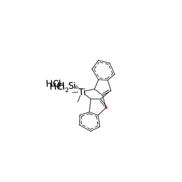 CC1=Cc2ccccc2[CH]1[Ti]([CH3])([CH3])(=[SiH2])[CH]1C(C)=Cc2ccccc21.Cl.Cl